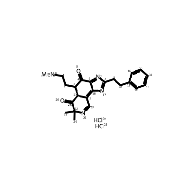 CNCCC1C(=O)C2=NC(CCc3ccccc3)=NC2=C2C=NC(C)(C)C(=O)C21.Cl.Cl